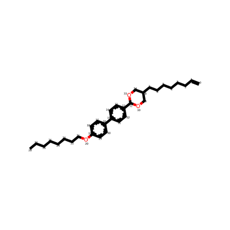 C=CCCCCCCC1COC(c2ccc(-c3ccc(OCCCCCCCC)cc3)cc2)OC1